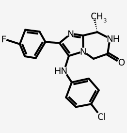 C[C@@H]1NC(=O)Cn2c1nc(-c1ccc(F)cc1)c2Nc1ccc(Cl)cc1